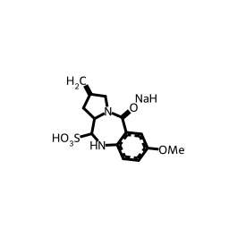 C=C1CC2C(S(=O)(=O)O)Nc3ccc(OC)cc3C(=O)N2C1.[NaH]